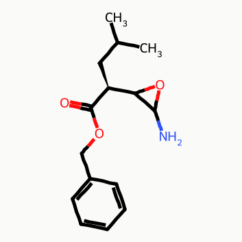 CC(C)C[C@H](C(=O)OCc1ccccc1)C1OC1N